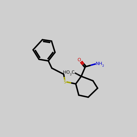 NC(=O)C1(C(=O)O)CCCCC1SCCc1ccccc1